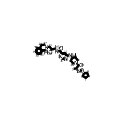 C/C(=N/OC1CCCC1)C(=O)N1CCC(Nc2cc(C(=O)NC[C@H](O)CN3CCc4ccccc4C3)ncn2)CC1